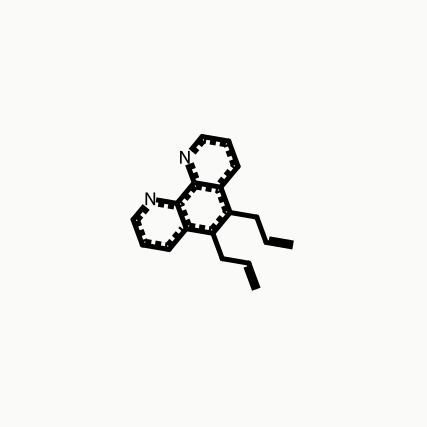 C=CCc1c(CC=C)c2cccnc2c2ncccc12